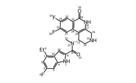 CCc1cc(F)cc2[nH]c(C(=O)N(C)[C@H]3CNCc4[nH]c(=O)c5cc(F)c(F)cc5c43)cc12